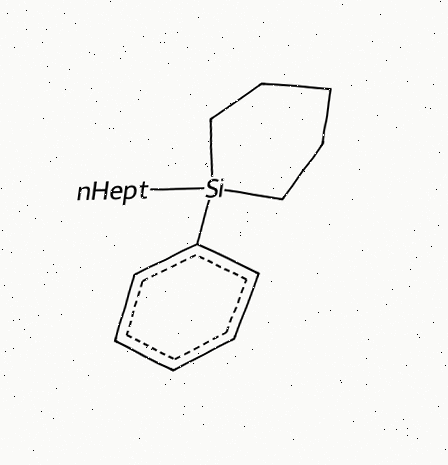 CCCCCCC[Si]1(c2ccccc2)CCCCC1